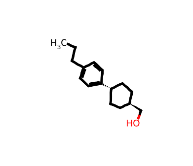 CCCc1ccc([C@H]2CC[C@H](CO)CC2)cc1